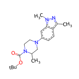 Cc1nn(C)c2cc(N3CCN(C(=O)OC(C)(C)C)C(C)C3)ccc12